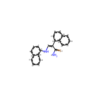 NC(=S)C(=CNc1cccc2ccccc12)c1cccc2ccccc12